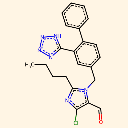 CCCCc1nc(Cl)c(C=O)n1Cc1ccc(-c2ccccc2)c(-c2nnn[nH]2)c1